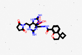 N=C1NC2C(CN3C(=O)CCC3=O)NC(=N)N3CC(NC(=O)c4cccc5c4OCCC54CCC4)C(O)(O)C23N1